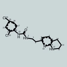 O=C(NCCc1ccc2c(n1)NCCC2)Nc1ccc(Cl)cc1Cl